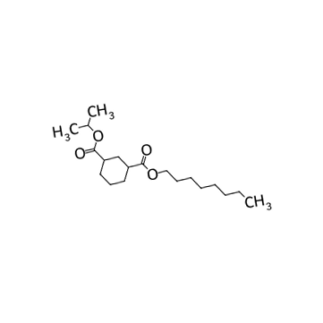 CCCCCCCCOC(=O)C1CCCC(C(=O)OC(C)C)C1